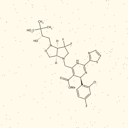 COC(=O)C1=C(CN2CC(F)(F)[C@H]3[C@@H]2CON3C[C@H](O)C(C)(C)C(=O)O)NC(c2nccs2)=N[C@H]1c1ccc(F)cc1Cl